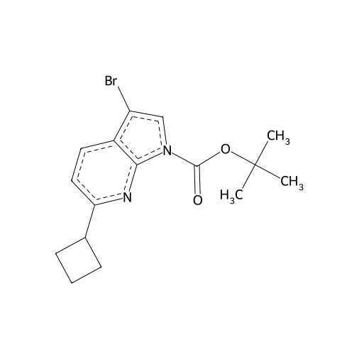 CC(C)(C)OC(=O)n1cc(Br)c2ccc(C3CCC3)nc21